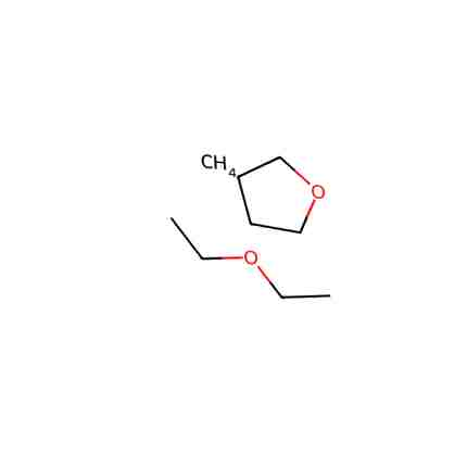 C.C1CCOC1.CCOCC